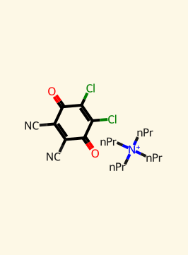 CCC[N+](CCC)(CCC)CCC.N#CC1=C(C#N)C(=O)C(Cl)=C(Cl)C1=O